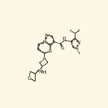 O=C(Nc1cn(I)nc1C(F)F)c1cnn2ccc(N3CC(NC4COC4)C3)nc12